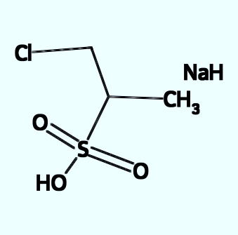 CC(CCl)S(=O)(=O)O.[NaH]